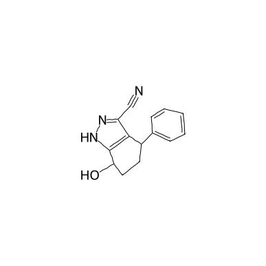 N#Cc1n[nH]c2c1C(c1ccccc1)CCC2O